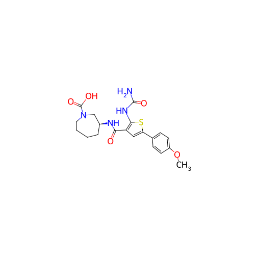 COc1ccc(-c2cc(C(=O)N[C@H]3CCCCN(C(=O)O)C3)c(NC(N)=O)s2)cc1